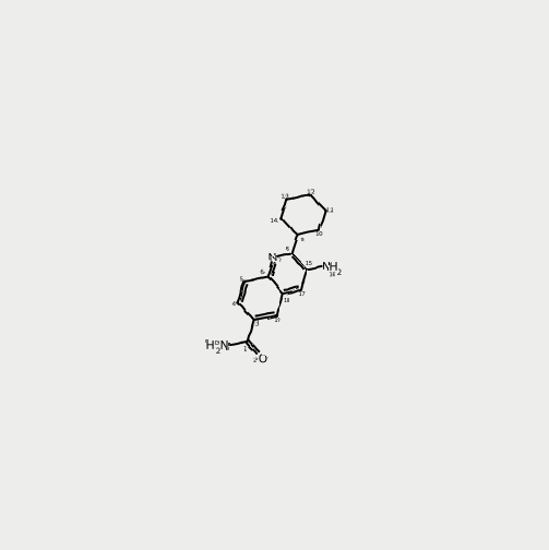 NC(=O)c1ccc2nc(C3CCCCC3)c(N)cc2c1